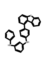 c1ccc(Nc2cccc(Nc3ccc(-c4cccc5sc6ccccc6c45)cc3)c2)cc1